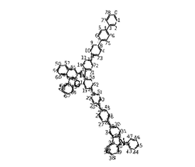 c1ccc(-c2ccc(-c3ccc(-c4ccc(N(c5ccc(-c6ccc(-c7ccc(-c8ccc9c(c8)c8ccccc8n9-c8ccccc8)cc7)cc6)cc5)c5cc6ccccc6c6c5oc5ccccc56)cc4)cc3)cc2)cc1